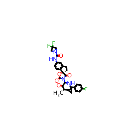 C[C@H](C(=O)C(NCc1ccc(F)cc1)N1C(=O)O[C@]2(CCc3cc(NC(=O)N4CC(F)(F)C4)ccc32)C1=O)C1CC1